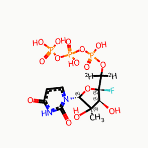 [2H]C([2H])(OP(=O)(O)OP(=O)(O)OP(=O)(O)O)[C@@]1(F)O[C@@H](n2ccc(=O)[nH]c2=O)[C@](C)(O)[C@@H]1O